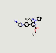 CCOC(=O)c1cc(-c2ccc(N3CC[C@H](C#N)C3)cc2)c2c(C)nn(-c3ccccc3)c2n1